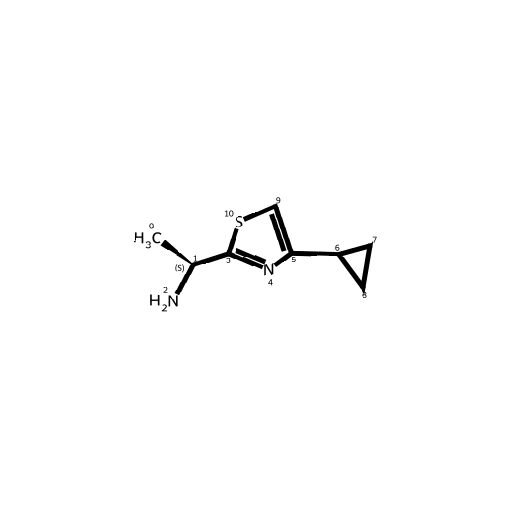 C[C@H](N)c1nc(C2CC2)cs1